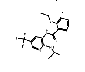 CCSc1ccccc1C(=O)Nc1cc(C(F)(F)F)cnc1NC(C)C